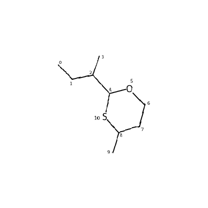 CCC(C)C1OCCC(C)S1